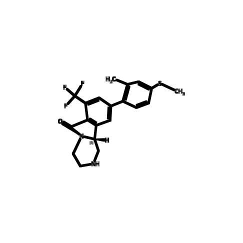 CSc1ccc(-c2cc3c(c(C(F)(F)F)c2)C(=O)N2CCNC[C@@H]32)c(C)c1